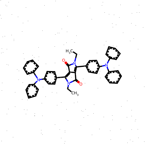 CCN1C(=O)C2=C(c3ccc(N(c4ccccc4)c4ccccc4)cc3)N(CC)C(=O)C2=C1c1ccc(N(c2ccccc2)c2ccccc2)cc1